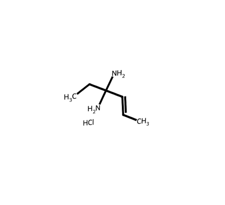 CC=CC(N)(N)CC.Cl